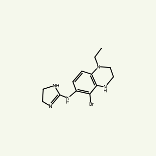 CCN1CCNc2c1ccc(NC1=NCCN1)c2Br